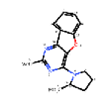 COc1nc(N2CCC[C@H]2C(=O)O)c2oc3ccccc3c2n1